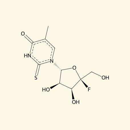 Cc1cn([C@@H]2O[C@](F)(CO)[C@@H](O)[C@H]2O)c(=S)[nH]c1=O